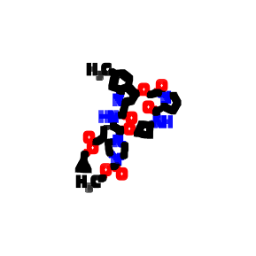 CCOC(=O)N1CCN(C(=O)[C@H](CCC(=O)OCC2CC2)NC(=O)c2cc(OCC(=O)N3CCC[C@H]3C(=O)NC3CCC3)c3ccc(C)cc3n2)CC1